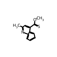 COC(=S)c1cc(C)nc2ccccc12